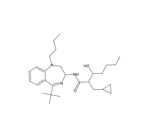 CCCCC(O)C(CC1CC1)C(=O)NC1CN(CCCC)c2ccccc2C(C(C)(C)C)=N1